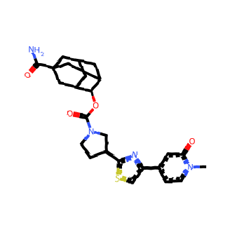 Cn1ccc(-c2csc(C3CCN(C(=O)OC4C5CC6CC4CC(C(N)=O)(C6)C5)C3)n2)cc1=O